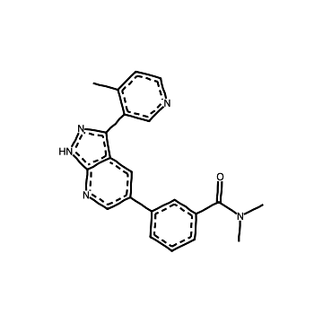 Cc1ccncc1-c1n[nH]c2ncc(-c3cccc(C(=O)N(C)C)c3)cc12